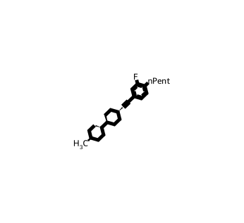 CCCCCc1ccc(C#C[C@H]2CC[C@H]([C@H]3CC[C@H](C)CC3)CC2)cc1F